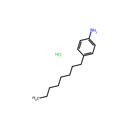 CCCCCCCCc1ccc(N)cc1.Cl